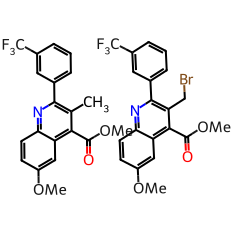 COC(=O)c1c(C)c(-c2cccc(C(F)(F)F)c2)nc2ccc(OC)cc12.COC(=O)c1c(CBr)c(-c2cccc(C(F)(F)F)c2)nc2ccc(OC)cc12